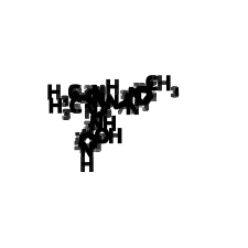 Cc1ccc2nc(CNc3cc(NC[C@H]4CCNC[C@@H]4O)nc4c(C(C)C)cnn34)cn2c1